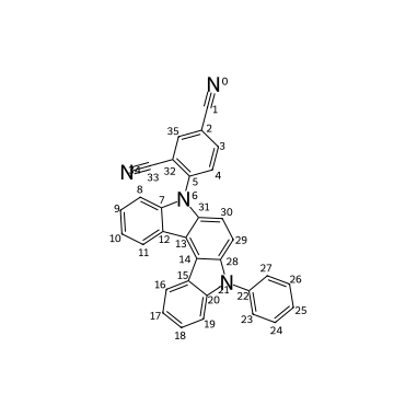 N#Cc1ccc(-n2c3ccccc3c3c4c5ccccc5n(-c5ccccc5)c4ccc32)c(C#N)c1